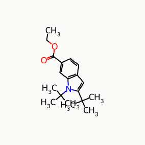 CCOC(=O)c1ccc2cc(C(C)(C)C)n(C(C)(C)C)c2c1